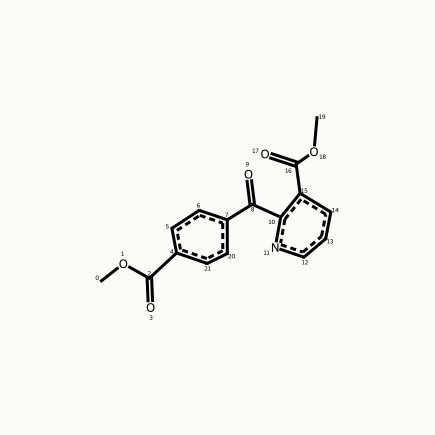 COC(=O)c1ccc(C(=O)c2ncccc2C(=O)OC)cc1